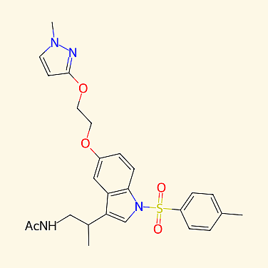 CC(=O)NCC(C)c1cn(S(=O)(=O)c2ccc(C)cc2)c2ccc(OCCOc3ccn(C)n3)cc12